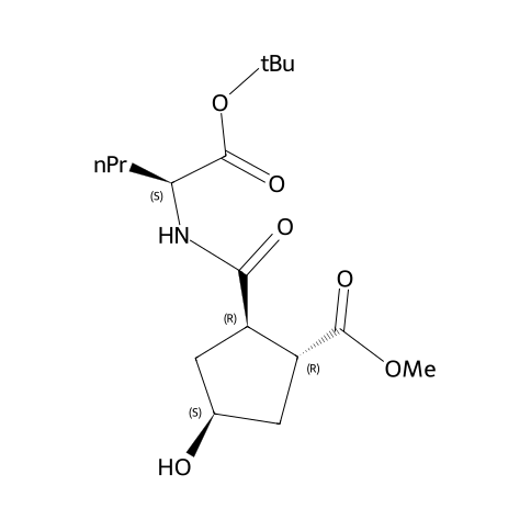 CCC[C@H](NC(=O)[C@@H]1C[C@H](O)C[C@H]1C(=O)OC)C(=O)OC(C)(C)C